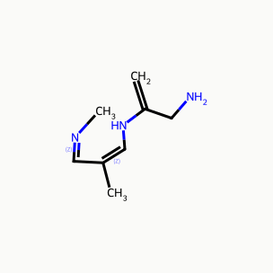 C=C(CN)N/C=C(C)\C=N/C